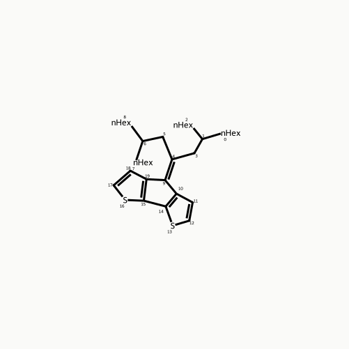 CCCCCCC(CCCCCC)CC(CC(CCCCCC)CCCCCC)=C1c2ccsc2-c2sccc21